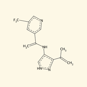 C=C(Nc1c[nH]nc1C(=C)C)c1cncc(C(F)(F)F)c1